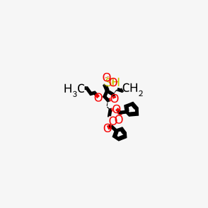 C=CC[C@@H]1O[C@H](C[C@@H](COC(=O)c2ccccc2)OC(=O)c2ccccc2)[C@H](OCCCC)C1=C[SH](=O)=O